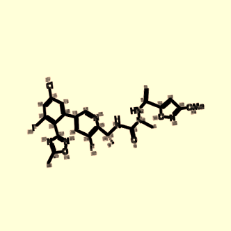 C=C(NN(C)C(=O)N[C@H](C)c1ncc(-c2cc(Cl)cc(F)c2-c2noc(C)n2)cc1F)c1cc(OC)no1